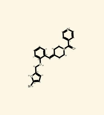 O=C(c1ccncc1)N1CCC(=Cc2ccccc2OCc2ccc(Br)o2)CC1